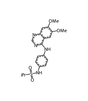 COc1cc2ncnc(Nc3ccc(NS(=O)(=O)C(C)C)cc3)c2cc1OC